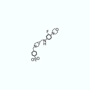 CS(=O)(=O)c1ccc(CN2CC3C(CNc4ccc(N5CCOCC5)c(F)c4)C3C2)cc1